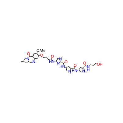 C=C1CC2C=Nc3cc(OCCCC(=O)Nc4cn(C)c(C(=O)Nc5cc(C(=O)Nc6cc(C(=O)NCCCO)n(C)c6)n(C)c5)n4)c(OC)cc3C(=O)N2C1